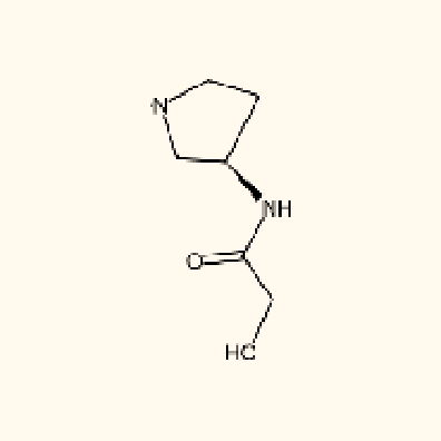 O=C(CO)N[C@@H]1CC[N]C1